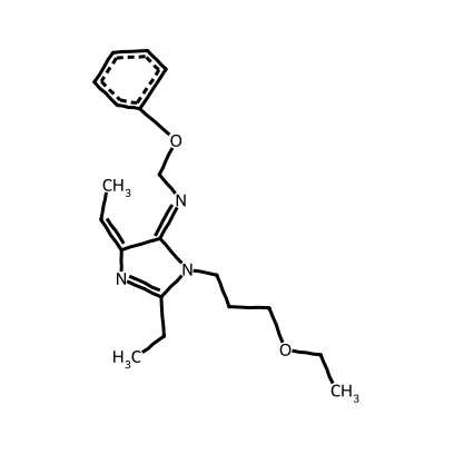 C/C=C1/N=C(CC)N(CCCOCC)/C1=N/COc1ccccc1